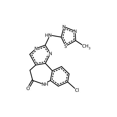 Cc1nnc(Nc2ncc3c(n2)-c2ccc(Cl)cc2NC(=O)C3)s1